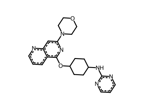 c1cnc(NC2CCC(Oc3nc(N4CCOCC4)cc4ncccc34)CC2)nc1